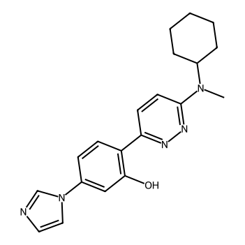 CN(c1ccc(-c2ccc(-n3ccnc3)cc2O)nn1)C1CCCCC1